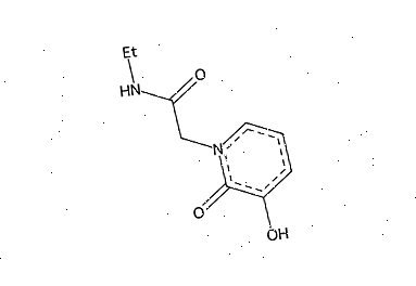 CCNC(=O)Cn1cccc(O)c1=O